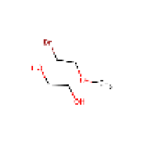 COCCBr.OCCO